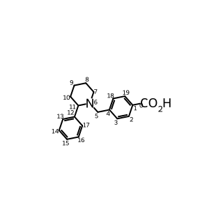 O=C(O)c1ccc(CN2CCCCC2c2ccccc2)cc1